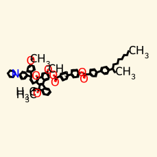 CCCCCCCCC(CC)c1ccc(-c2ccc(C(=O)Oc3ccc(-c4ccc(C(=O)Oc5cc6c7c(c8c(c6cc5OC)OC(c5ccc(OC)cc5)(c5ccc(N6CCCCC6)cc5)C=C8)C(CC)(OC)c5ccccc5-7)cc4)cc3)cc2)cc1